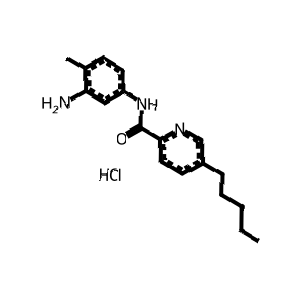 CCCCCc1ccc(C(=O)Nc2ccc(C)c(N)c2)nc1.Cl